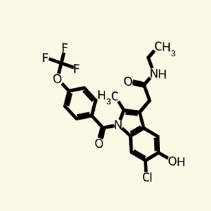 CCNC(=O)Cc1c(C)n(C(=O)c2ccc(OC(F)(F)F)cc2)c2cc(Cl)c(O)cc12